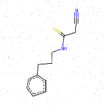 N#CCC(=S)NCCCc1ccccc1